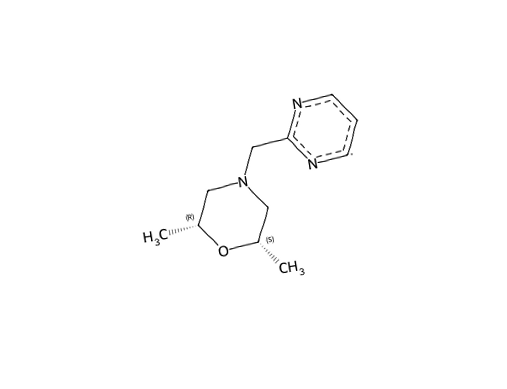 C[C@@H]1CN(Cc2n[c]ccn2)C[C@H](C)O1